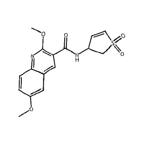 COc1ccc2nc(OC)c(C(=O)NC3C=CS(=O)(=O)C3)cc2c1